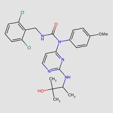 COc1ccc(N(C(=O)NCc2c(Cl)cccc2Cl)c2ccnc(NC(C)C(C)(C)O)n2)cc1